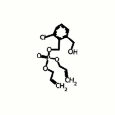 C=CCOP(=O)(OCC=C)OCc1c(Cl)cccc1CO